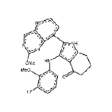 COc1ncc2nccc(-c3[nH]c4c(c3Nc3cccc(Cl)c3OC)C(=O)CCC4)c2n1